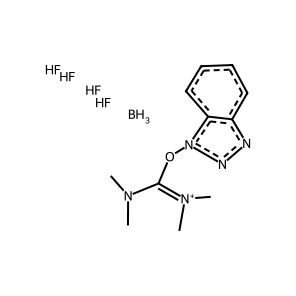 B.CN(C)C(On1nnc2ccccc21)=[N+](C)C.F.F.F.F